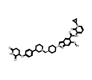 CC(C)Oc1cc2nn([C@H]3CC[C@H](CN4CCCC(c5ccc(OC6CCC(=O)NC6=O)cc5)C4)CC3)cc2cc1C(=O)Nc1cccn(C2CC2)c1=O